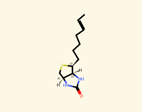 CC=CCCCC[C@@H]1SC[C@@H]2NC(=O)N[C@@H]21